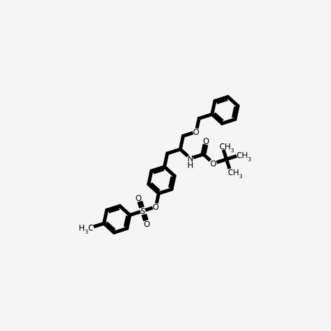 Cc1ccc(S(=O)(=O)Oc2ccc(CC(COCc3ccccc3)NC(=O)OC(C)(C)C)cc2)cc1